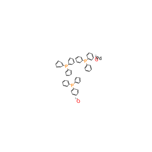 [C]=O.[C]=O.[Pd].c1ccc(P(c2ccccc2)c2ccccc2)cc1.c1ccc(P(c2ccccc2)c2ccccc2)cc1.c1ccc(P(c2ccccc2)c2ccccc2)cc1